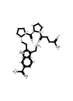 CCc1c(CC[C@@H]2CCCN2C(=O)[C@H]2CCCN2C(=O)CCC(=O)O)[nH]c2cc(C(=N)N)ccc12